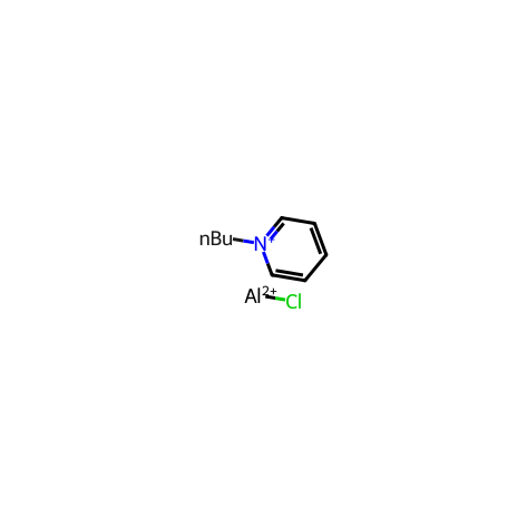 CCCC[n+]1ccccc1.[Al+2][Cl]